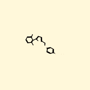 Cc1cccc(C)c1-c1ccc(COc2ccc(C=O)cc2)s1